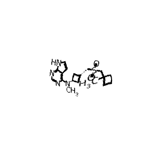 CN(c1ncnc2[nH]ccc12)[C@H]1C[C@@H](CS(=O)(=O)CC2(C)CCC2)C1